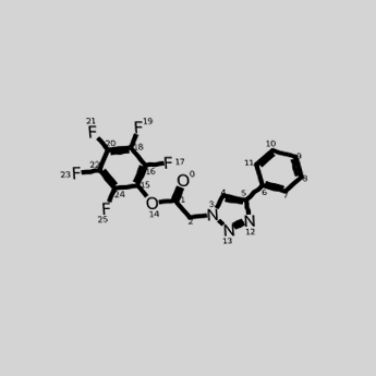 O=C(Cn1cc(-c2ccccc2)nn1)Oc1c(F)c(F)c(F)c(F)c1F